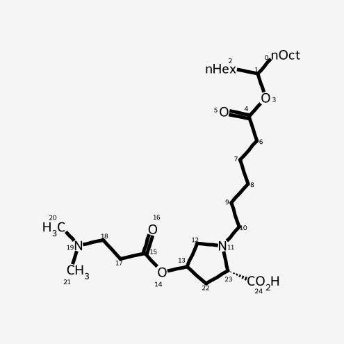 CCCCCCCCC(CCCCCC)OC(=O)CCCCCN1CC(OC(=O)CCN(C)C)C[C@H]1C(=O)O